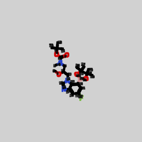 COC(CN(C)C(=O)OC(C)(C)C)Cn1cnc2cc(F)cc(B3OC(C)(C)C(C)(C)O3)c21